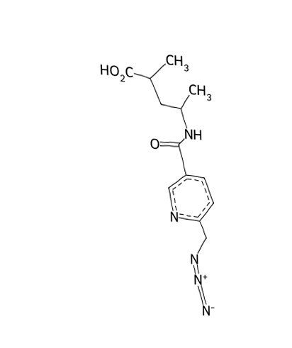 CC(CC(C)C(=O)O)NC(=O)c1ccc(CN=[N+]=[N-])nc1